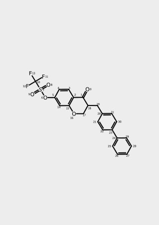 O=C1c2ccc(OS(=O)(=O)C(F)(F)F)cc2OCC1Cc1ccc(-c2ccccc2)cc1